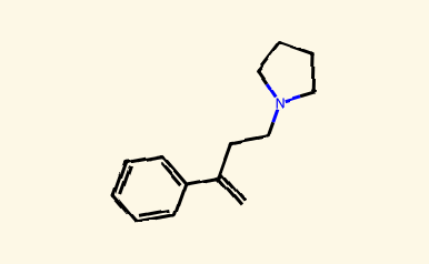 C=C(CCN1CCCC1)c1ccccc1